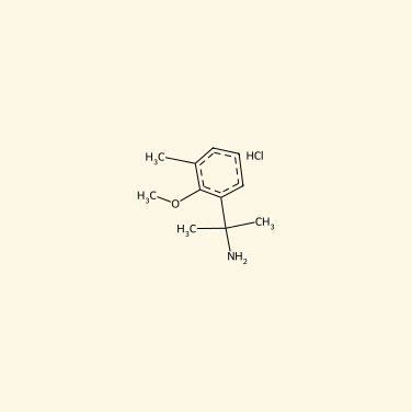 COc1c(C)cccc1C(C)(C)N.Cl